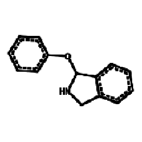 c1ccc(OC2NCc3ccccc32)cc1